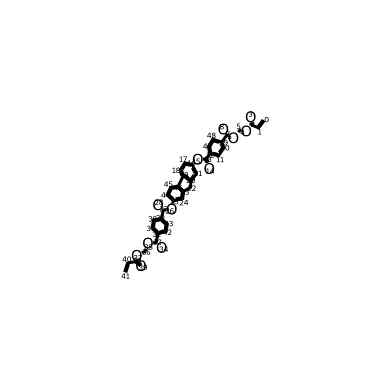 C=CC(=O)OCOC(=O)c1ccc(C(=O)Oc2ccc3c(c2)Cc2cc(OC(=O)c4ccc(C(=O)OCOC(=O)C=C)cc4)ccc2-3)cc1